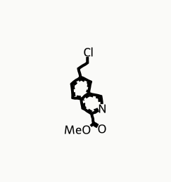 COC(=O)c1cc2ccc(CCCl)cc2cn1